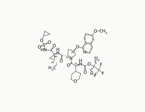 CC[C@@H]1C[C@]1(NC(=O)[C@@H]1C[C@@H](Oc2nccc3cc(OC)ccc23)CN1C(=O)[C@@H](NC(=O)OC(C)(C)C(F)(F)F)C1CCOCC1)C(=O)NS(=O)(=O)OC1CC1